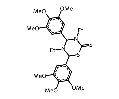 CCN1C(=S)SC(c2cc(OC)c(OC)c(OC)c2)N(CC)C1c1cc(OC)c(OC)c(OC)c1